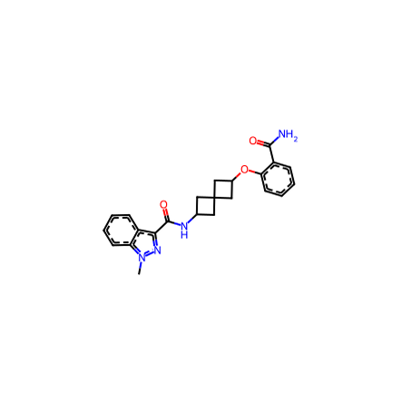 Cn1nc(C(=O)NC2CC3(C2)CC(Oc2ccccc2C(N)=O)C3)c2ccccc21